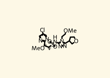 COCCn1c(NS(=O)(=O)[C@@H](C)[C@H](OC)c2ncc(Cl)cn2)nnc1C1CCOC1